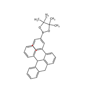 CC1(C)OB(c2cccc(-c3cccc4c3C(c3ccccc3)c3ccccc3C4)c2)OC1(C)C